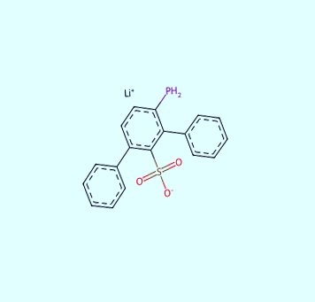 O=S(=O)([O-])c1c(-c2ccccc2)ccc(P)c1-c1ccccc1.[Li+]